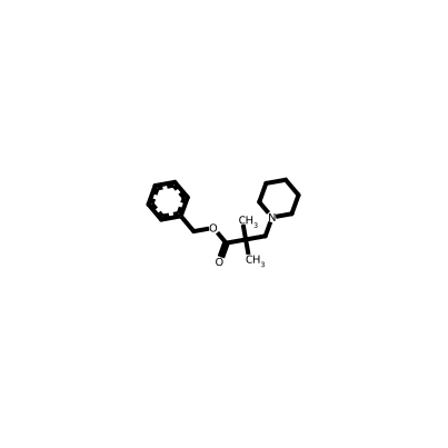 CC(C)(CN1CCCCC1)C(=O)OCc1ccccc1